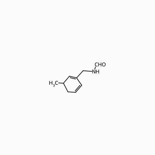 CC1C=C(CNC=O)C=CC1